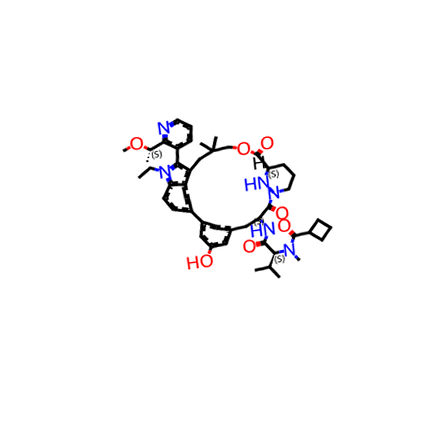 CCn1c(-c2cccnc2[C@H](C)OC)c2c3cc(ccc31)-c1cc(O)cc(c1)C[C@H](NC(=O)[C@H](C(C)C)N(C)C(=O)C1CCC1)C(=O)N1CCC[C@H](N1)C(=O)OCC(C)(C)C2